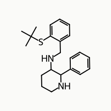 CC(C)(C)Sc1ccccc1CNC1CCCNC1c1ccccc1